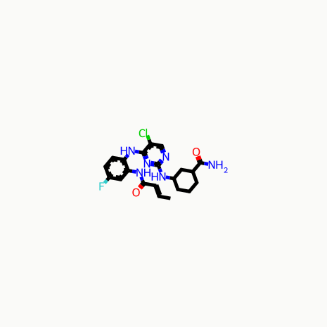 CC=CC(=O)Nc1cc(F)ccc1Nc1nc(NC2CCCC(C(N)=O)C2)ncc1Cl